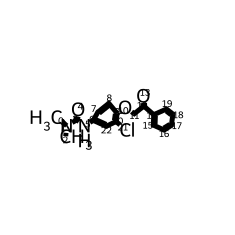 CN(C)C(=O)Nc1ccc(OCC(=O)c2ccccc2)c(Cl)c1